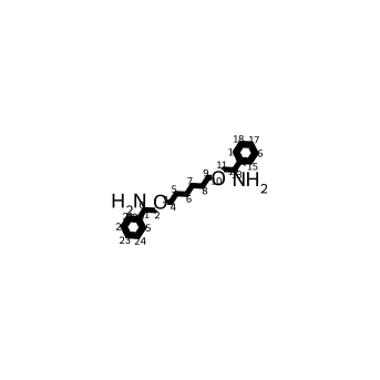 N[C@H](COCCCCCCOC[C@@H](N)c1ccccc1)c1ccccc1